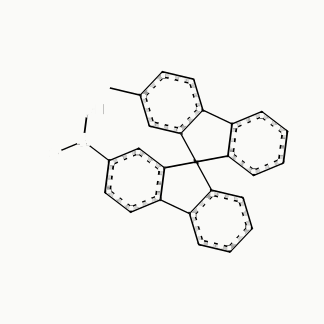 Cc1ccc2c(c1)C1(c3ccccc3-2)c2ccccc2-c2ccc(B(O)O)cc21